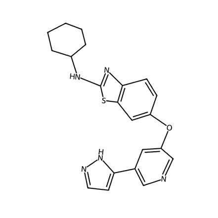 c1cc(-c2cncc(Oc3ccc4nc(NC5CCCCC5)sc4c3)c2)[nH]n1